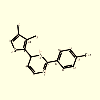 Cc1csc(C2C=CN=C(c3ccc(F)cc3)N2)c1C